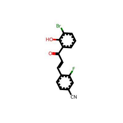 N#Cc1ccc(C=CC(=O)c2cccc(Br)c2O)c(F)c1